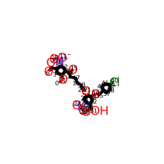 COc1cc(C(=O)O)c([N+](=O)[O-])cc1C(=O)CCCCCOc1cc([N+](=O)[O-])c(C(=O)O)cc1OCc1ccc(Cl)cc1